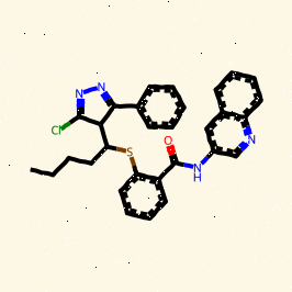 CCCCC(Sc1ccccc1C(=O)Nc1cnc2ccccc2c1)C1C(Cl)=NN=C1c1ccccc1